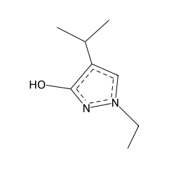 CCn1cc(C(C)C)c(O)n1